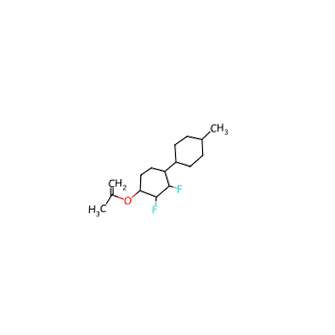 C=C(C)OC1CCC(C2CCC(C)CC2)C(F)C1F